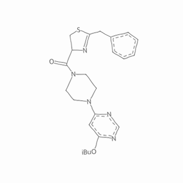 CC(C)COc1cc(N2CCN(C(=O)C3CSC(Cc4ccccc4)=N3)CC2)ncn1